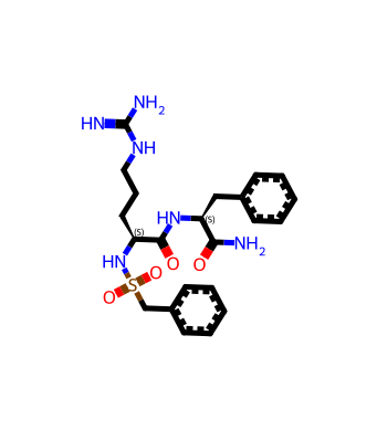 N=C(N)NCCC[C@H](NS(=O)(=O)Cc1ccccc1)C(=O)N[C@@H](Cc1ccccc1)C(N)=O